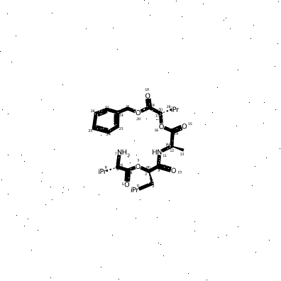 CC(C)C[C@@H](OC(=O)[C@@H](N)C(C)C)C(=O)N[C@H](C)C(=O)O[C@H](C(=O)OCc1ccccc1)C(C)C